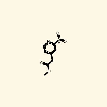 COC(=O)Cc1ccnc([SH](=O)=O)c1